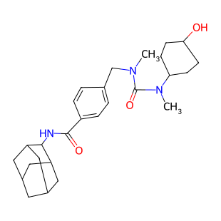 CN(Cc1ccc(C(=O)NC2C3CC4CC(C3)CC2C4)cc1)C(=O)N(C)C1CCC(O)CC1